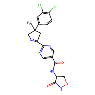 O=C(NC1CONC1=O)c1cnc(C2=NCC(c3ccc(Cl)c(Cl)c3)(C(F)(F)F)C2)nc1